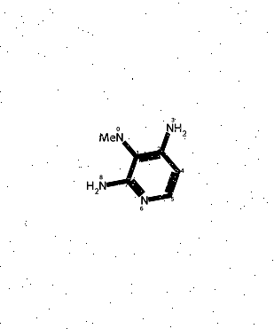 CNc1c(N)ccnc1N